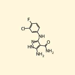 NC(=O)c1c(Nc2ccc(F)c(Cl)c2)n[nH]c1N